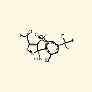 CS(=O)(=O)C1=C([N+](=O)[O-])N=NC1(N)c1c(Cl)cc(C(F)(F)F)cc1Cl